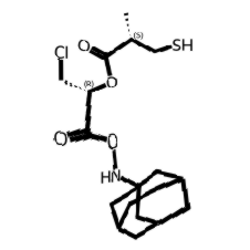 C[C@H](CS)C(=O)O[C@@H](CCl)C(=O)ONC12CC3CC(CC(C3)C1)C2